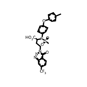 Cc1ccc(Oc2ccc(N(C(CCn3nnc4cc(C(F)(F)F)ccc4c3=O)C(=O)O)S(C)(=O)=O)cc2)cc1